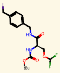 CC(C)(C)OC(=O)N[C@H](COC(F)F)C(=O)NCc1ccc(CI)cc1